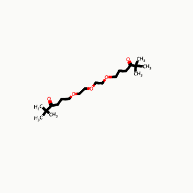 CC(C)(C)C(=O)CCCOCCOCCOCCCC(=O)C(C)(C)C